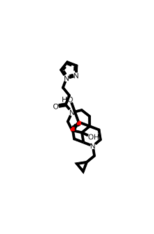 O=C(CCn1cccn1)N1CCC23CCN(CC4CC4)C(Cc4ccc(O)cc42)C3(O)CC1